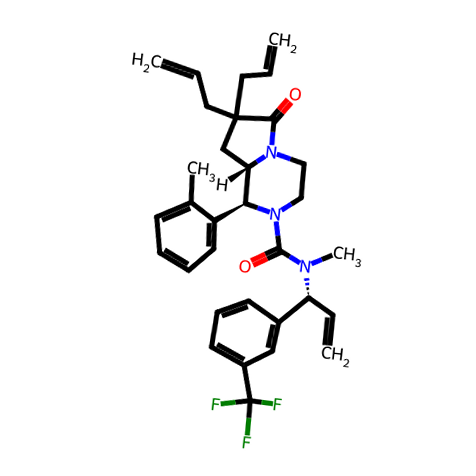 C=CCC1(CC=C)C[C@H]2[C@H](c3ccccc3C)N(C(=O)N(C)[C@H](C=C)c3cccc(C(F)(F)F)c3)CCN2C1=O